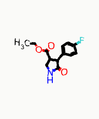 CCOC(=O)C1CNC(=O)C1c1ccc(F)cc1